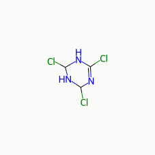 ClC1=NC(Cl)NC(Cl)N1